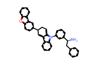 N[C@@H](Cc1ccccc1)c1cccc(-n2c3c(c4ccccc42)=CC(c2ccc4oc5ccccc5c4c2)CC=3)c1